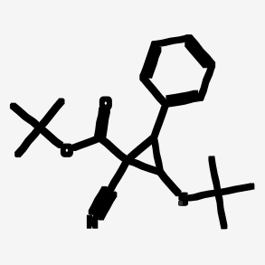 CC(C)(C)OC(=O)C1(C#N)C(SC(C)(C)C)C1c1ccccc1